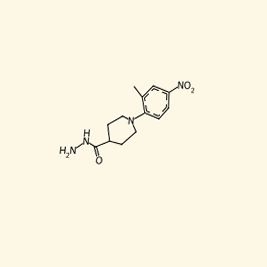 Cc1cc([N+](=O)[O-])ccc1N1CCC(C(=O)NN)CC1